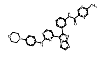 Cc1cnc(C(=O)Nc2cccc(-c3nc4sccn4c3-c3ccnc(Nc4ccc(N5CCOCC5)cc4)n3)c2)cn1